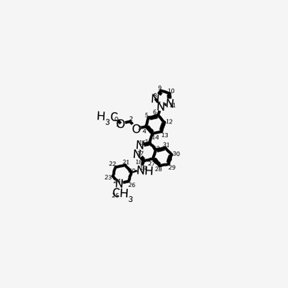 COCOc1cc(-n2nccn2)ccc1-c1nnc(N[C@@H]2CCCN(C)C2)c2ccccc12